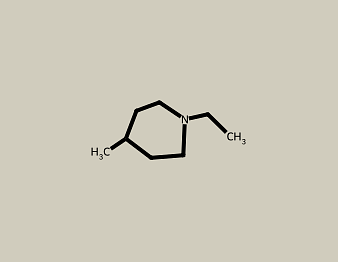 CCN1CCC(C)CC1